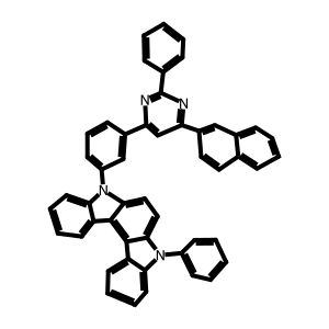 c1ccc(-c2nc(-c3cccc(-n4c5ccccc5c5c6c7ccccc7n(-c7ccccc7)c6ccc54)c3)cc(-c3ccc4ccccc4c3)n2)cc1